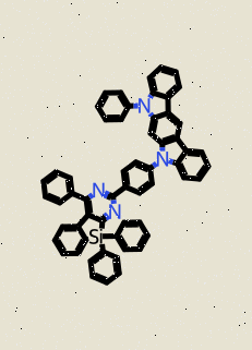 c1ccc(-c2nc(-c3ccc(-n4c5ccccc5c5cc6c7ccccc7n(-c7ccccc7)c6cc54)cc3)nc3c2-c2ccccc2[Si]3(c2ccccc2)c2ccccc2)cc1